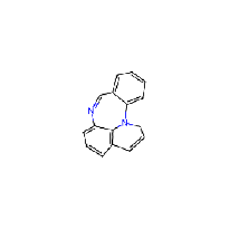 C1=Cc2cccc3c2N(C1)c1ccccc1C=N3